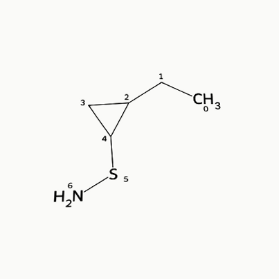 CCC1CC1SN